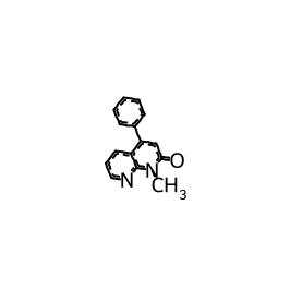 Cn1c(=O)cc(-c2ccccc2)c2cccnc21